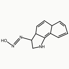 ON=NC1CNC2=C3C=CC=CC3C=CC21